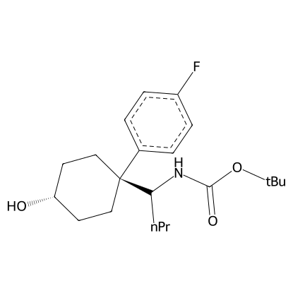 CCCC(NC(=O)OC(C)(C)C)[C@]1(c2ccc(F)cc2)CC[C@@H](O)CC1